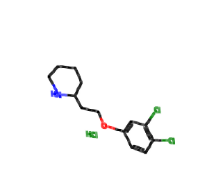 Cl.Clc1ccc(OCCC2CCCCN2)cc1Cl